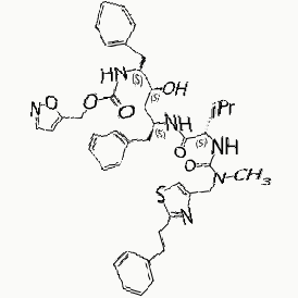 CC(C)[C@H](NC(=O)N(C)Cc1csc(CCc2ccccc2)n1)C(=O)N[C@@H](Cc1ccccc1)C[C@H](O)[C@H](Cc1ccccc1)NC(=O)OCc1ccno1